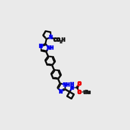 CC(C)(C)OC(=O)NC1(c2ncc(-c3ccc(-c4ccc(-c5cnc(C6CCCN6C(=O)O)[nH]5)cc4)cc3)[nH]2)CCC1